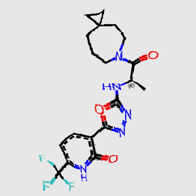 C[C@@H](Nc1nnc(-c2ccc(C(F)(F)F)[nH]c2=O)o1)C(=O)N1CCCC2(CC1)CC2